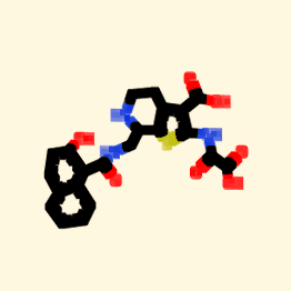 O=C(O)C(=O)Nc1sc2c(c1C(=O)O)CCNC2CNC(=O)c1c(O)ccc2ccccc12